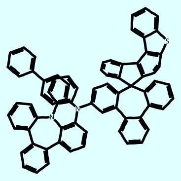 c1ccc(-c2ccc(N(c3ccc4c(c3)-c3ccccc3-c3ccccc3C43c4ccccc4-c4c3ccc3sc5ccccc5c43)c3cccc4c3N(c3ccccc3)c3ccccc3-c3ccccc3-4)cc2)cc1